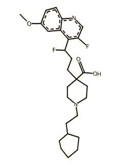 COc1ccc2ncc(F)c(C(F)CCC3(C(=O)O)CCN(CCC4CCCCC4)CC3)c2c1